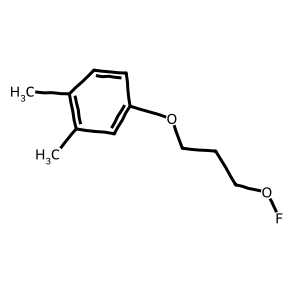 Cc1ccc(OCCCOF)cc1C